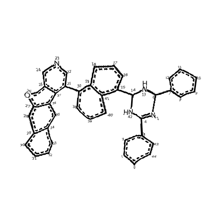 c1ccc(C2=NC(c3ccccc3)NC(c3cccc4c(-c5cncc6oc7cc8ccccc8cc7c56)cccc34)N2)cc1